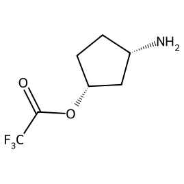 N[C@H]1CC[C@@H](OC(=O)C(F)(F)F)C1